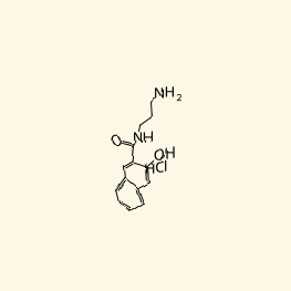 Cl.NCCCNC(=O)c1cc2ccccc2cc1O